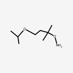 CC(C)OCCC(C)(C)ON